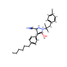 CCCCCCc1ccc(-c2c(C#N)nn(C(C)(C)Cc3ccc(C)cc3)c2O)cc1